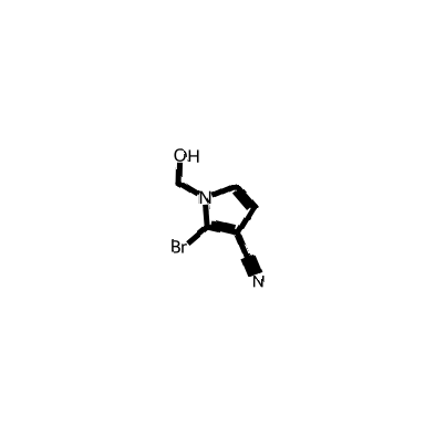 N#Cc1ccn(CO)c1Br